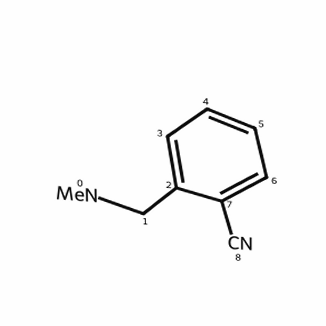 CNCc1ccccc1C#N